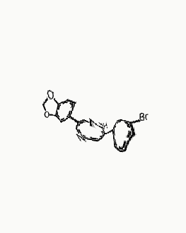 Brc1cccc(-c2cnc(-c3ccc4c(c3)OCO4)[nH]2)c1